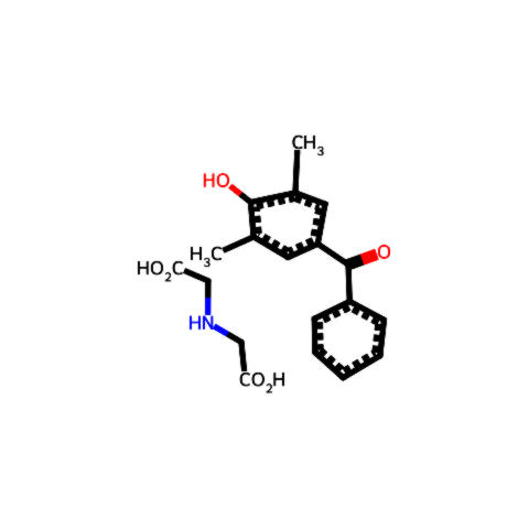 Cc1cc(C(=O)c2ccccc2)cc(C)c1O.O=C(O)CNCC(=O)O